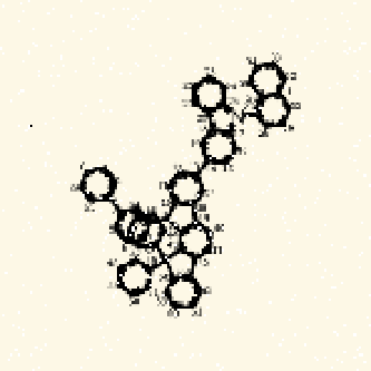 c1ccc(-c2cccc(C3c4ccc(-c5ccc6c(c5)c5ccccc5n6-c5cccc6ccccc56)cc4-c4ccc5c(c43)C(c3ccccc3)(c3ccccc3)c3ccccc3-5)c2)cc1